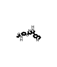 C=CC(=O)Nc1cccc(Oc2cnc3[nH]cc(-c4ccc5ncccc5c4)c3c2)c1